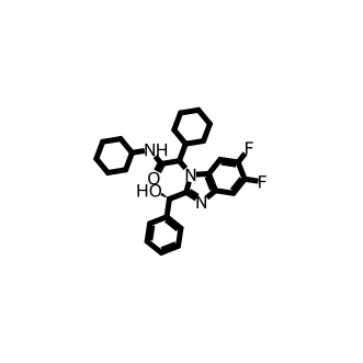 O=C(NC1CCCCC1)C(C1CCCCC1)n1c([C@@H](O)c2ccccc2)nc2cc(F)c(F)cc21